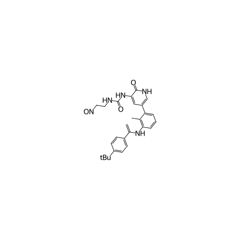 C=C(Nc1cccc(-c2c[nH]c(=O)c(NC(=O)NCCN=O)c2)c1C)c1ccc(C(C)(C)C)cc1